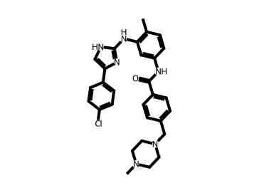 Cc1ccc(NC(=O)c2ccc(CN3CCN(C)CC3)cc2)cc1Nc1nc(-c2ccc(Cl)cc2)c[nH]1